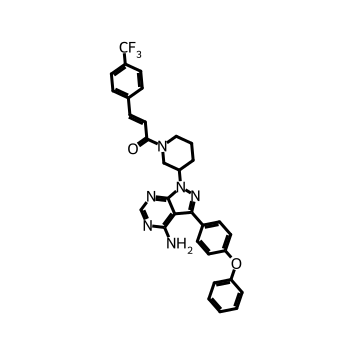 Nc1ncnc2c1c(-c1ccc(Oc3ccccc3)cc1)nn2C1CCCN(C(=O)C=Cc2ccc(C(F)(F)F)cc2)C1